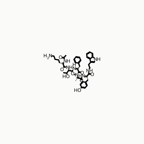 CC(=O)N[C@@H](CCCCN)C(=O)N[C@H](C(=O)N[C@@H](Cc1ccccc1)C(=O)N(C)[C@@H](C)C(=O)N[C@@H](Cc1ccc(O)cc1)C(=O)NCCc1c[nH]c2ccccc12)C(C)O